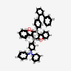 c1ccc(-c2ccccc2-c2ccc(B3c4oc5ccccc5c4B(c4ccc(N(c5ccccc5)c5ccccc5)cc4)c4oc5ccccc5c43)cc2)cc1